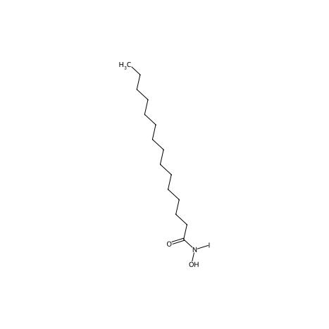 CCCCCCCCCCCCCCC(=O)N(O)I